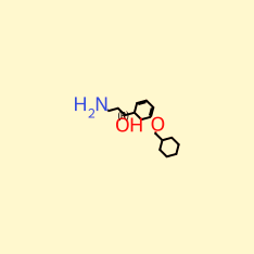 NCC[C@@H](O)C1C=CC=C(OCC2CCCCC2)C1